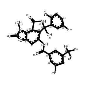 Cn1c(=O)oc2cc(NC(=O)c3cc(F)cc(C(F)(F)F)c3)c3c(c21)C(=O)NC3(O)c1cc(F)ccc1Cl